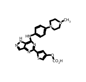 CN1CCN(c2ccc(Nc3nc(-c4cc(OC(=O)O)cs4)nc4cn[nH]c34)cc2)CC1